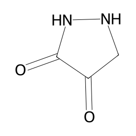 O=C1CNNC1=O